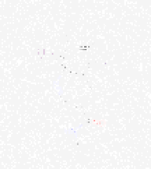 CNC(=O)c1cnc2c(P)c(C)c(I)c(I)c2c1